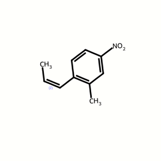 C/C=C\c1ccc([N+](=O)[O-])cc1C